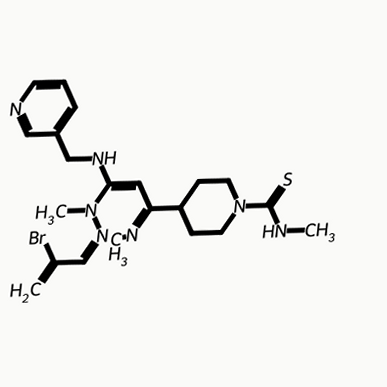 C=C(Br)/C=N\N(C)/C(=C\C(=N/C)C1CCN(C(=S)NC)CC1)NCc1cccnc1